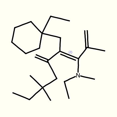 C=C(CC(C)(C)CC)/C(CC1(CC)CCCCC1)=C(/C(=C)C)N(C)CC